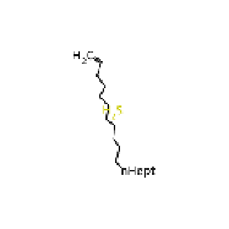 C=CCCCCCCCCCCCCCCCC.S